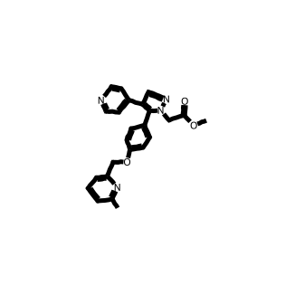 COC(=O)Cn1ncc(-c2ccncc2)c1-c1ccc(OCc2cccc(C)n2)cc1